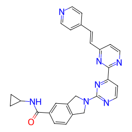 O=C(NC1CC1)c1ccc2c(c1)CN(c1nccc(-c3nccc(/C=C/c4ccncc4)n3)n1)C2